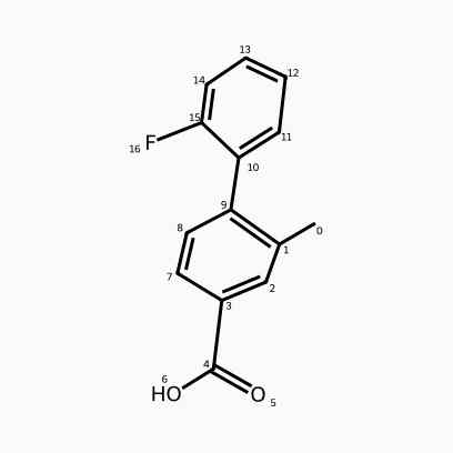 Cc1cc(C(=O)O)ccc1-c1ccccc1F